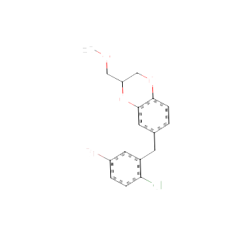 CCOCC1COc2ccc(Cc3cc(Br)ccc3Cl)cc2O1